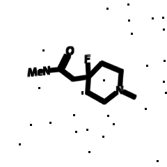 CNC(=O)CC1(F)CCN(C)CC1